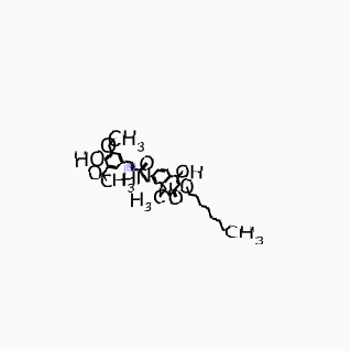 CCCCCCCCOc1c(O)c2ccc(NC(=O)/C=C/c3cc(OC)c(O)c(C(C)=O)c3)cc2n(C)c1=O